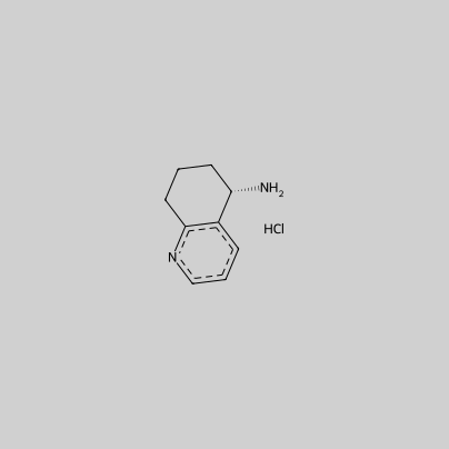 Cl.N[C@H]1CCCc2ncccc21